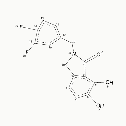 O=C1c2c(ccc(O)c2O)CN1Cc1ccc(F)c(F)c1